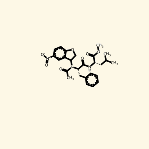 COC(=O)[C@H](CC(C)C)NC(=O)[C@H](Cc1ccccc1)N(C(C)=O)C1COc2ccc([N+](=O)[O-])cc21